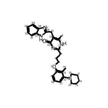 Cc1[nH]c(CCCOc2cccc(N3CCCCC3)c2C)nc(=O)c1Cc1nc2ccccc2[nH]1